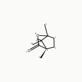 CC12CC[C@](C)(C(=O)O1)C2(C)C